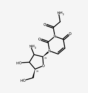 NCC(=O)n1c(=O)ccn([C@H]2O[C@@H](CO)C(O)C2N)c1=O